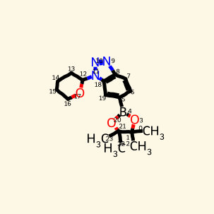 CC1(C)OB(c2ccc3nnn(C4CCCCO4)c3c2)OC1(C)C